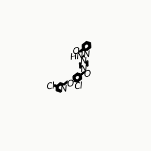 O=C(c1ccc(OCc2cc(Cl)ccn2)c(Cl)c1)N1CCN(c2nc3ccccc3c(=O)[nH]2)CC1